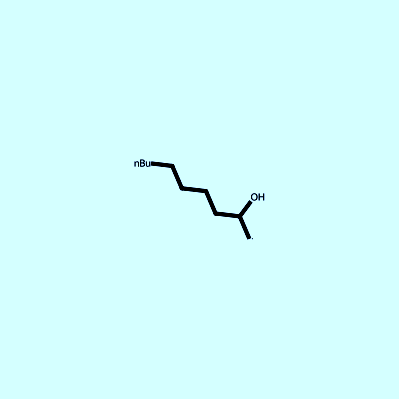 [CH2]C(O)CCCCCCCC